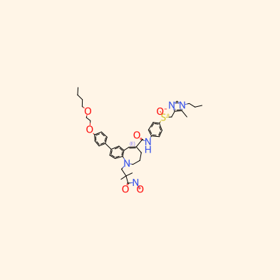 CCCCOCCOc1ccc(-c2ccc3c(c2)/C=C(/C(=O)Nc2ccc([S+]([O-])Cc4ncn(CCC)c4C)cc2)CCCN3CC(C)(C)C(=O)N=O)cc1